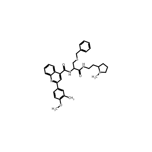 COc1ccc(-c2cc(C(=O)NC(CSCc3ccccc3)C(=O)NCCC3CCCN3C)c3ccccc3n2)cc1C